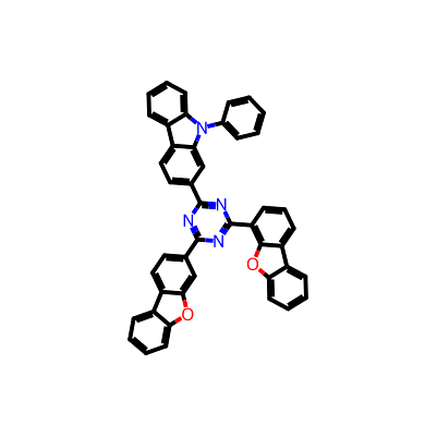 c1ccc(-n2c3ccccc3c3ccc(-c4nc(-c5ccc6c(c5)oc5ccccc56)nc(-c5cccc6c5oc5ccccc56)n4)cc32)cc1